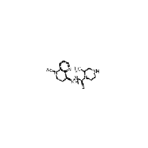 CC(=O)N1CC/C(=N/NC(=S)N2CCNCC2C)c2ncccc21